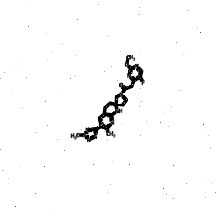 COc1ncc(F)c(CC(=O)N2CC[C@@]3(CCc4cc(-c5nnn(C)n5)c(C)nc4N3)C2)n1